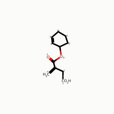 C=C(CC(=O)O)C(=O)OC1C=CCCC1